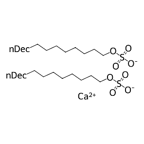 CCCCCCCCCCCCCCCCCCOS(=O)(=O)[O-].CCCCCCCCCCCCCCCCCCOS(=O)(=O)[O-].[Ca+2]